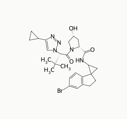 CC(C)(C)[C@@H](C(=O)N1C[C@H](O)C[C@@H]1C(=O)NC1CC12CCc1cc(Br)ccc12)n1cc(C2CC2)nn1